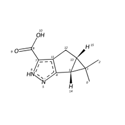 CC1(C)[C@@H]2c3n[nH]c(C(=O)O)c3C[C@@H]21